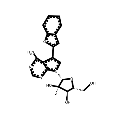 C[C@@]1(O)[C@H](O)[C@@H](CO)O[C@H]1n1cc(-c2cc3ccccc3o2)c2c(N)ncnc21